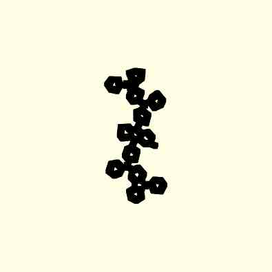 Cc1ccc2c(-c3ccc(N(c4ccccc4)c4ccc5c(c4)c4ccccc4n5-c4ccccc4)cc3)c3ccccc3c(-c3ccc(N(c4ccccc4)c4ccc5c(c4)c4ccccc4n5-c4ccccc4)cc3)c2c1